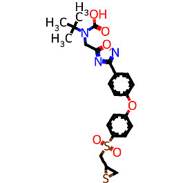 CC(C)(C)N(Cc1nc(-c2ccc(Oc3ccc(S(=O)(=O)CC4CS4)cc3)cc2)no1)C(=O)O